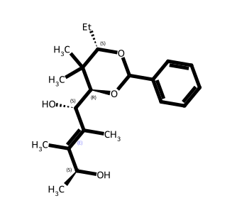 CC[C@@H]1OC(c2ccccc2)O[C@@H]([C@@H](O)/C(C)=C(\C)[C@H](C)O)C1(C)C